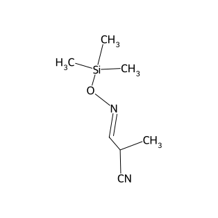 CC(C#N)C=NO[Si](C)(C)C